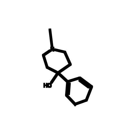 CN1CCC(O)(C2=C[CH]CC=C2)CC1